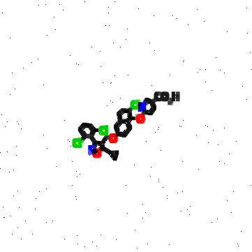 O=C(O)c1ccc(Oc2c(Cl)ccc3cc(OCc4c(-c5c(Cl)cccc5Cl)noc4C4CC4)ccc23)nc1